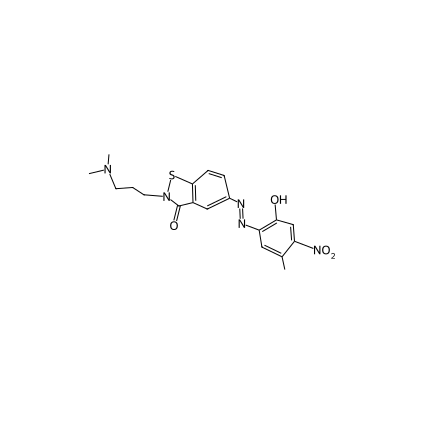 Cc1cc(N=Nc2ccc3sn(CCCN(C)C)c(=O)c3c2)c(O)cc1[N+](=O)[O-]